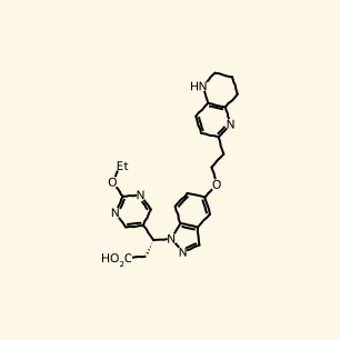 CCOc1ncc([C@@H](CC(=O)O)n2ncc3cc(OCCc4ccc5c(n4)CCCN5)ccc32)cn1